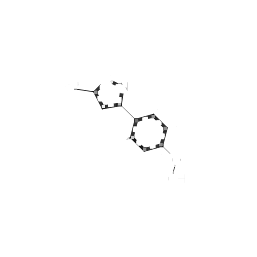 COc1ccc(-c2cc(Cl)on2)cc1